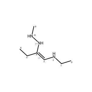 CCN/C=C(/CC)NNC